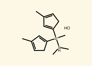 CC1=CC[C]([Zr]([CH3])([C]2=CC(C)=CC2)[SiH](C)C)=C1.Cl